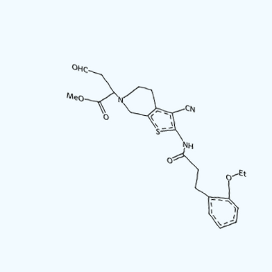 CCOc1ccccc1CCC(=O)Nc1sc2c(c1C#N)CCN(C(CC=O)C(=O)OC)C2